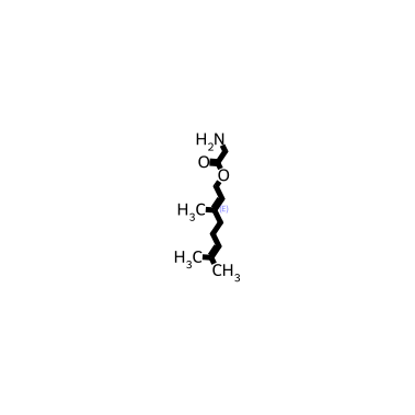 CC(C)=CCC/C(C)=C/COC(=O)CN